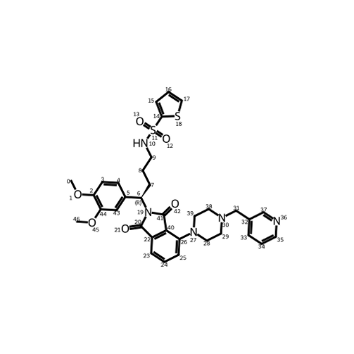 COc1ccc([C@@H](CCCNS(=O)(=O)c2cccs2)N2C(=O)c3cccc(N4CCN(Cc5cccnc5)CC4)c3C2=O)cc1OC